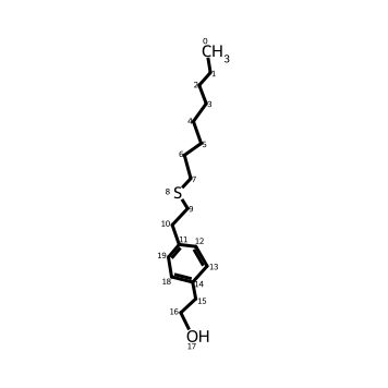 CCCCCCCCSCCc1ccc(CCO)cc1